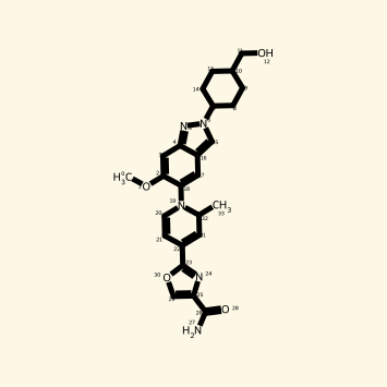 COc1cc2nn(C3CCC(CO)CC3)cc2cc1N1C=CC(c2nc(C(N)=O)co2)=CC1C